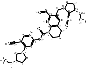 CO[C@H]1CCN(c2cc(NC(=O)N3CCCc4cc(CN5CC[C@H](OC)C5=C=O)c(C=O)nc43)ncc2C#N)C1